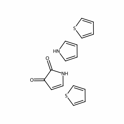 O=C1C=CNC1=O.c1cc[nH]c1.c1ccsc1.c1ccsc1